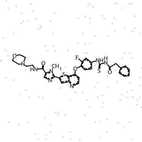 Cn1c(C(=O)NCCN2CCOCC2)cnc1-c1cc2nccc(Oc3ccc(NC(=S)NC(=O)Cc4ccccc4)cc3F)c2s1